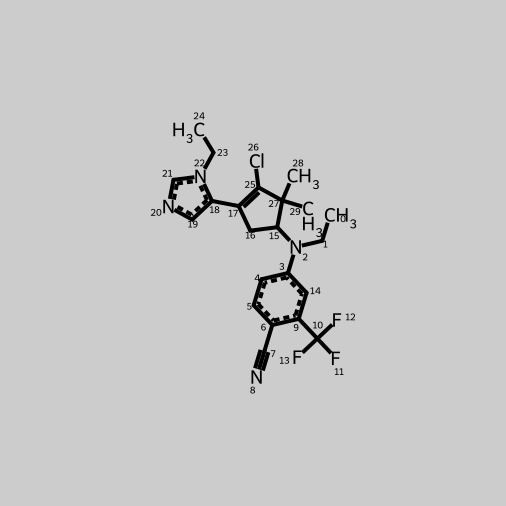 CCN(c1ccc(C#N)c(C(F)(F)F)c1)C1CC(c2cncn2CC)=C(Cl)C1(C)C